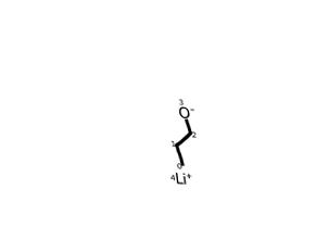 CCC[O-].[Li+]